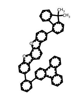 CC1(C)c2ccccc2-c2c(-c3ccc4oc5c(ccc6c7cc(-c8ccccc8-c8ccc9c%10ccccc%10c%10ccccc%10c9c8)ccc7oc65)c4c3)cccc21